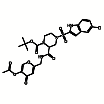 CC(=O)Oc1coc(CNC(=O)C2CN(S(=O)(=O)c3cc4cc(Cl)ccc4[nH]3)CCN2C(=O)OC(C)(C)C)cc1=O